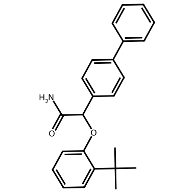 CC(C)(C)c1ccccc1OC(C(N)=O)c1ccc(-c2ccccc2)cc1